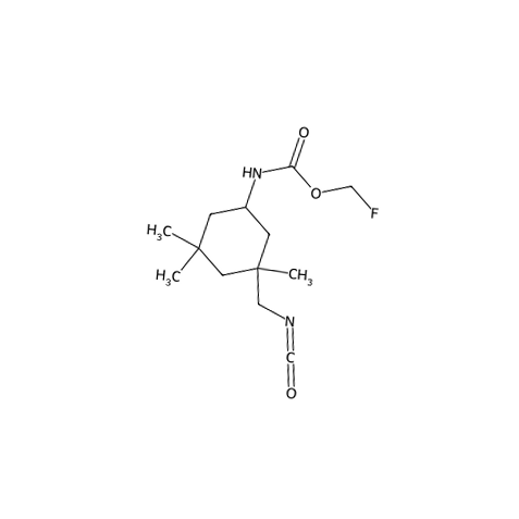 CC1(C)CC(NC(=O)OCF)CC(C)(CN=C=O)C1